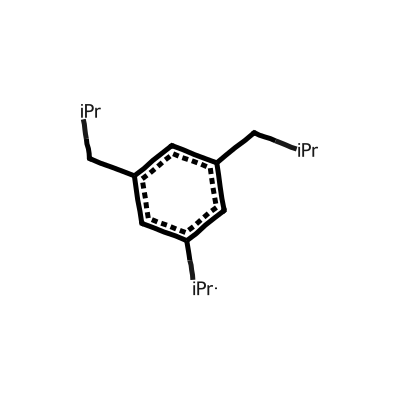 C[C](C)c1cc(CC(C)C)cc(CC(C)C)c1